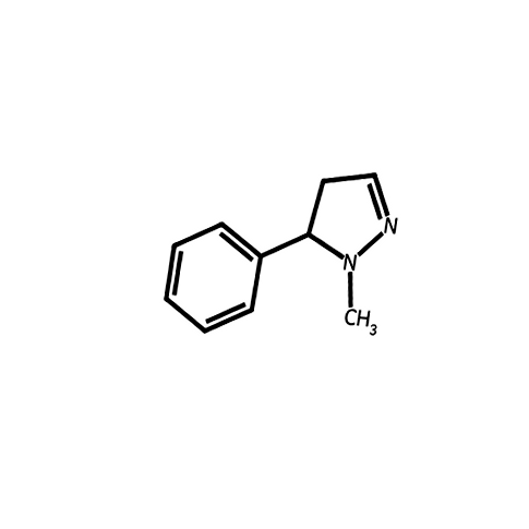 CN1N=CCC1c1ccccc1